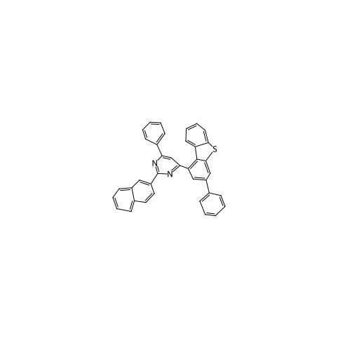 c1ccc(-c2cc(-c3cc(-c4ccccc4)nc(-c4ccc5ccccc5c4)n3)c3c(c2)sc2ccccc23)cc1